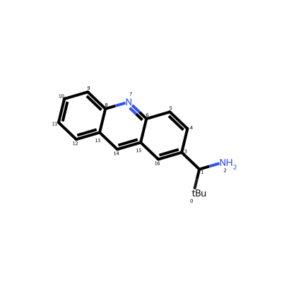 CC(C)(C)C(N)c1ccc2nc3ccccc3cc2c1